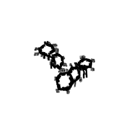 c1ccc2c[nH]cc2c1.c1ccnnc1.c1cn[nH]c1.c1cnccn1